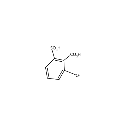 [O]c1cccc(S(=O)(=O)O)c1C(=O)O